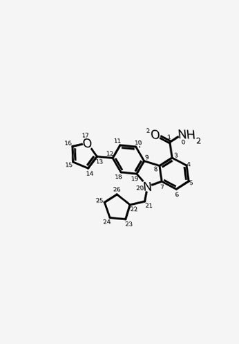 NC(=O)c1cccc2c1c1[c]cc(-c3ccco3)cc1n2CC1CCCC1